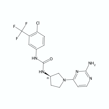 Nc1nccc(N2CC[C@@H](NC(=O)Nc3ccc(Cl)c(C(F)(F)F)c3)C2)n1